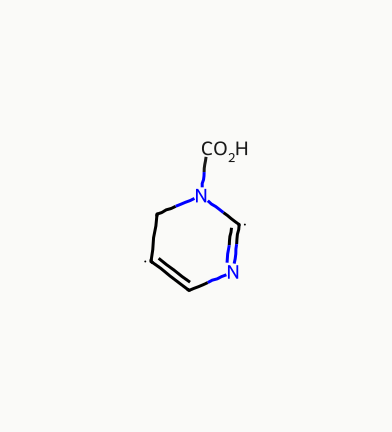 O=C(O)N1[C]=NC=[C]C1